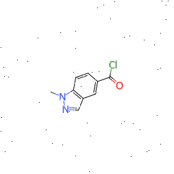 Cn1ncc2cc(C(=O)Cl)ccc21